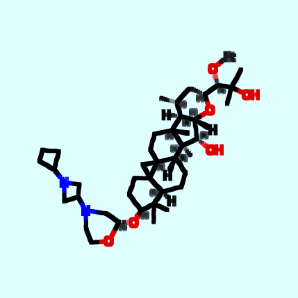 CCO[C@@H]([C@H]1C[C@@H](C)[C@H]2[C@H](O1)[C@H](O)[C@@]1(C)[C@@H]3CC[C@H]4C(C)(C)[C@@H](O[C@H]5CN(C6CN(C7CCC7)C6)CCO5)CCC45C[C@@]35CC[C@]21C)C(C)(C)O